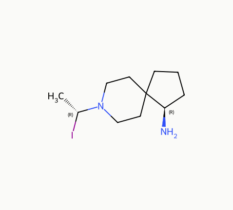 C[C@@H](I)N1CCC2(CCC[C@H]2N)CC1